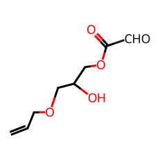 C=CCOCC(O)COC(=O)C=O